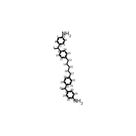 CC(c1ccc(N)cc1)c1ccc(CCCCCc2ccc(C(C)c3ccc(N)cc3)cc2)cc1